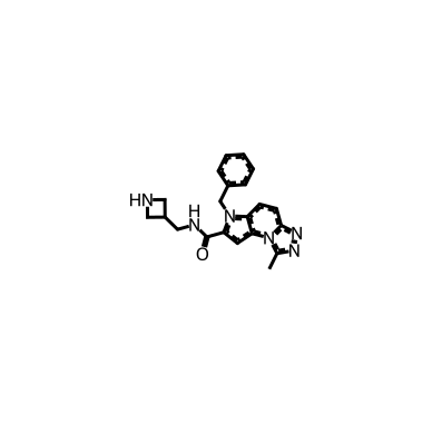 Cc1nnc2ccc3c(cc(C(=O)NCC4CNC4)n3Cc3ccccc3)n12